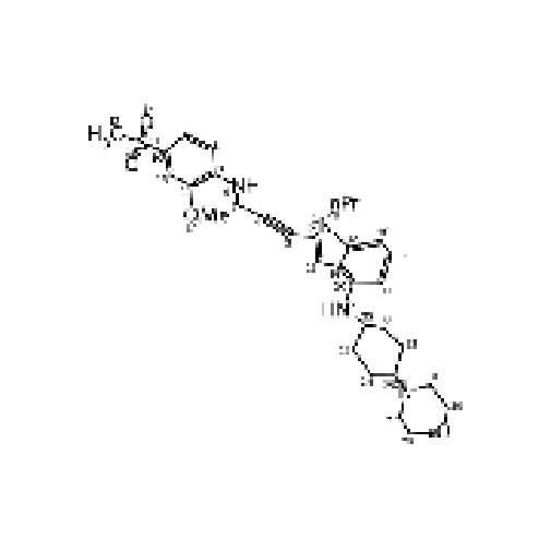 CCCn1c(C#CCNc2ccc(S(C)(=O)=O)cc2OC)cc2c(N[C@H]3CC[C@H](N4CCOCC4)CC3)cccc21